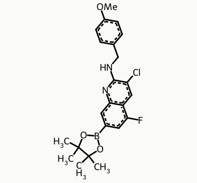 COc1ccc(CNc2nc3cc(B4OC(C)(C)C(C)(C)O4)cc(F)c3cc2Cl)cc1